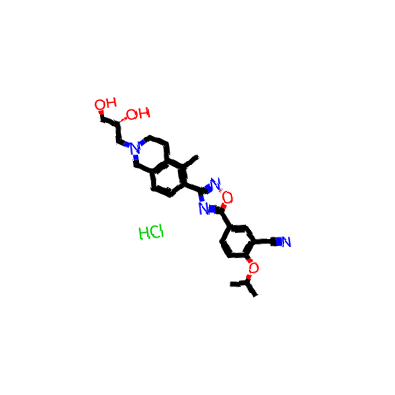 Cc1c(-c2noc(-c3ccc(OC(C)C)c(C#N)c3)n2)ccc2c1CCN(C[C@@H](O)CO)C2.Cl